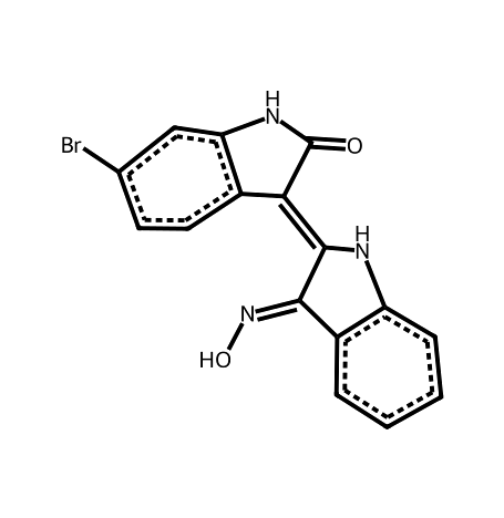 O=C1Nc2cc(Br)ccc2/C1=C1/Nc2ccccc2/C1=N\O